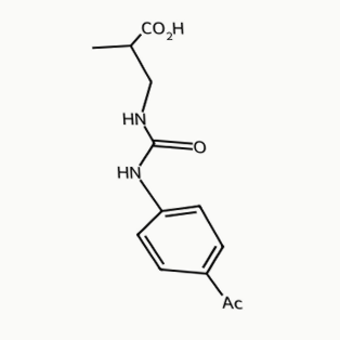 CC(=O)c1ccc(NC(=O)NCC(C)C(=O)O)cc1